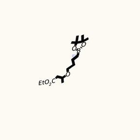 CCOC(=O)CC(C)OCC/C=C/B1OC(C)(C)C(C)(C)O1